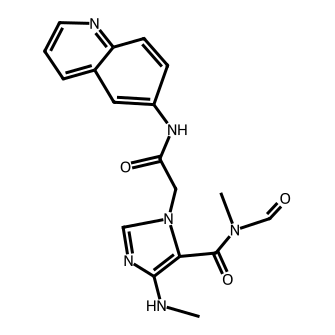 CNc1ncn(CC(=O)Nc2ccc3ncccc3c2)c1C(=O)N(C)C=O